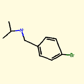 CC(C)[N]Cc1ccc(Br)cc1